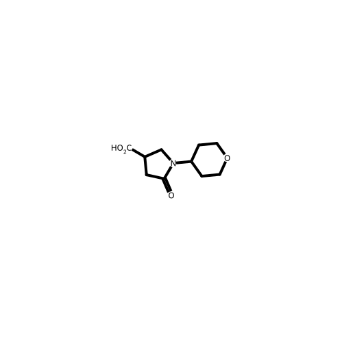 O=C(O)C1CC(=O)N(C2CCOCC2)C1